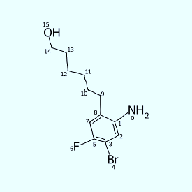 Nc1cc(Br)c(F)cc1C[CH]CCCCO